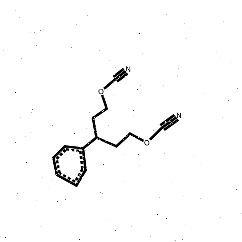 N#COCCC(CCOC#N)c1ccccc1